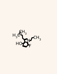 CCCn1cc(CCN(C)C)c2c(O)ccc(F)c21